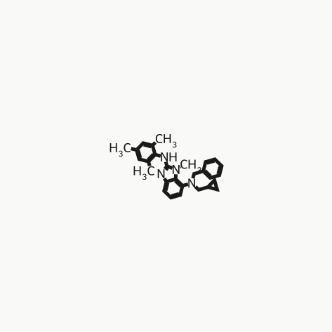 Cc1cc(C)c(Nc2nc3cccc(N(Cc4ccccc4)CC4CC4)c3n2C)c(C)c1